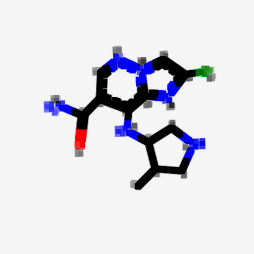 CC1CNCC1Nc1c(C(N)=O)cnn2cc(Br)nc12